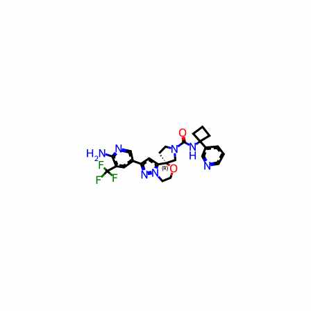 Nc1ncc(-c2cc3n(n2)CCO[C@@]32CCN(C(=O)NC3(c4cccnc4)CCC3)C2)cc1C(F)(F)F